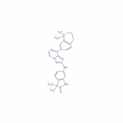 CC1(C)CCCc2ccc(-c3nccn4nc(Nc5ccc6c(c5)NC(=O)C6(C)C)nc34)cc21